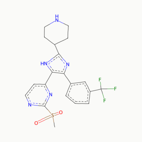 CS(=O)(=O)c1nccc(-c2[nH]c(C3CCNCC3)nc2-c2cccc(C(F)(F)F)c2)n1